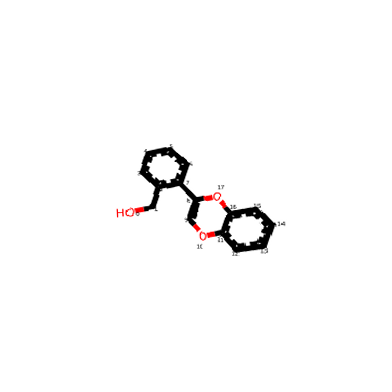 OCc1ccccc1C1=COc2ccccc2O1